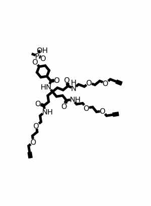 C#CCOCCOCCNC(=O)CCC(CCC(=O)NCCOCCOCC#C)(CCC(=O)NCCOCCOCC#C)NC(=O)C1CCC(OP(C)(=O)O)CC1